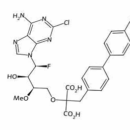 CO[C@H](COC(Cc1ccc(-c2ccc(F)cc2)cc1)(C(=O)O)C(=O)O)[C@@H](O)[C@H](F)n1cnc2c(N)nc(Cl)nc21